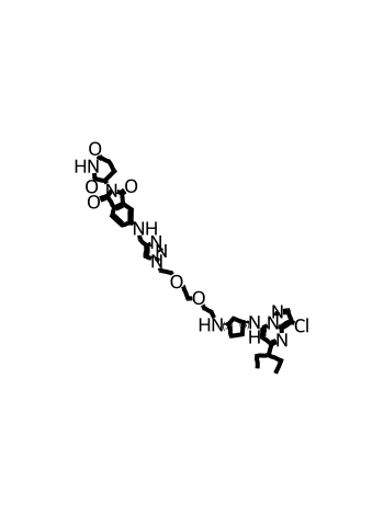 CCC(CC)c1cc(N[C@H]2CC[C@H](NCCOCCOCCn3cc(CNc4ccc5c(c4)C(=O)N(C4CCC(=O)NC4=O)C5=O)nn3)C2)n2ncc(Cl)c2n1